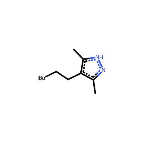 CCC(C)CCc1c(C)n[nH]c1C